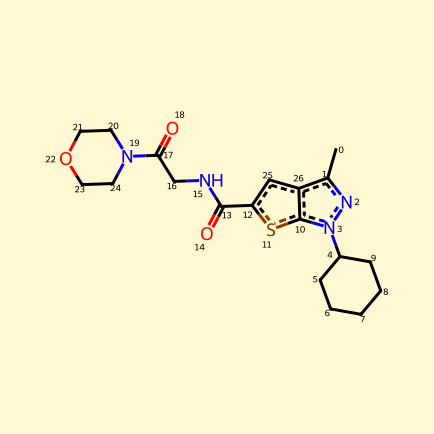 Cc1nn(C2CCCCC2)c2sc(C(=O)NCC(=O)N3CCOCC3)cc12